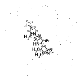 Cc1c(-c2[nH]c3sc(N4CCN(C5CCC5)C[C@H]4C)nc3c2C(C)C)cn2ncnc2c1C